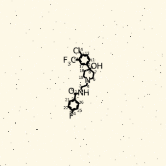 O=C(NCCN1CCC(O)(c2ccc(Cl)c(C(F)(F)F)c2)CC1)c1ccc(F)cc1